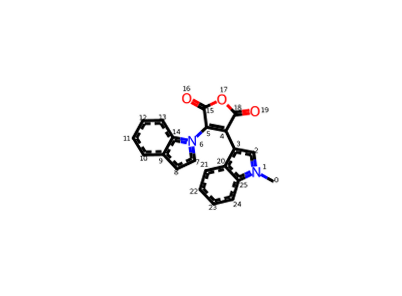 Cn1cc(C2=C(n3ccc4ccccc43)C(=O)OC2=O)c2ccccc21